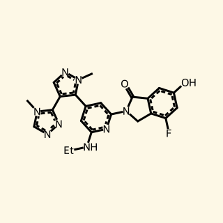 CCNc1cc(-c2c(-c3nncn3C)cnn2C)cc(N2Cc3c(F)cc(O)cc3C2=O)n1